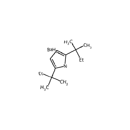 CCC(C)(C)C1=CC=C(C(C)(C)CC)[N]1.[BaH2]